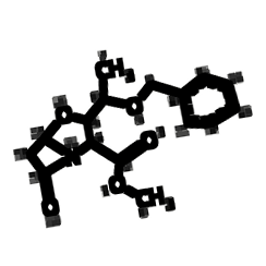 COC(=O)C1C(C(C)OCc2ccccc2)OC2CC(=O)N21